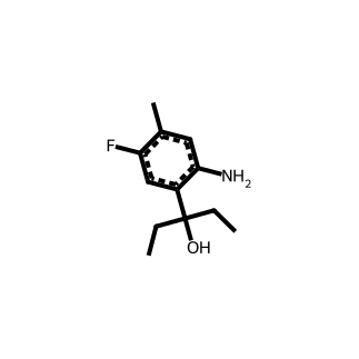 CCC(O)(CC)c1cc(F)c(C)cc1N